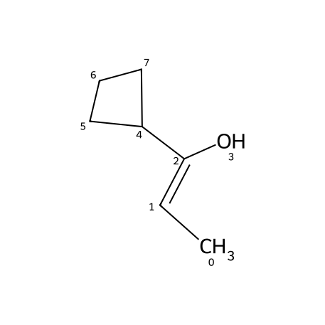 CC=C(O)C1CCC1